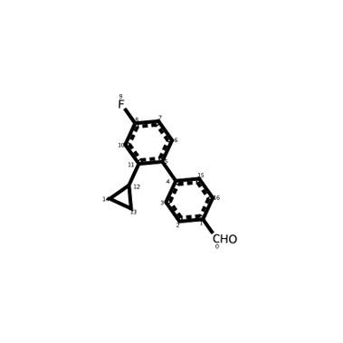 O=Cc1ccc(-c2ccc(F)cc2C2CC2)cc1